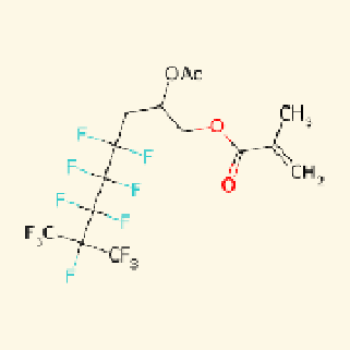 C=C(C)C(=O)OCC(CC(F)(F)C(F)(F)C(F)(F)C(F)(C(F)(F)F)C(F)(F)F)OC(C)=O